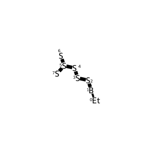 CCB=S=S=S=S(=S)=S